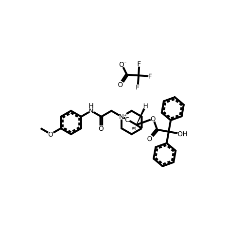 COc1ccc(NC(=O)C[N+]23CCC(CC2)[C@@H](OC(=O)C(O)(c2ccccc2)c2ccccc2)C3)cc1.O=C([O-])C(F)(F)F